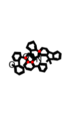 CC1(C)c2ccccc2-c2cccc(N(c3ccc(-c4cccc5oc6ccccc6c45)cc3)c3ccccc3-c3cccc4oc5c6ccccc6ccc5c34)c21